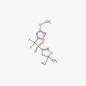 COc1cc(C(F)(F)S(=O)(=O)C2=NOC(C)(C)C2)on1